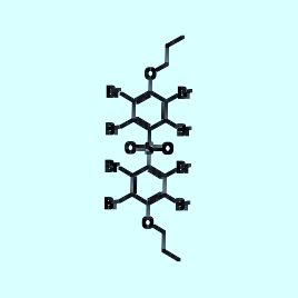 CCCOc1c(Br)c(Br)c(S(=O)(=O)c2c(Br)c(Br)c(OCCC)c(Br)c2Br)c(Br)c1Br